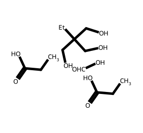 CCC(=O)O.CCC(=O)O.CCC(CO)(CO)CO.O=CO